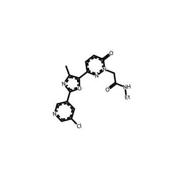 CCNC(=O)Cn1nc(-c2oc(-c3cncc(Cl)c3)nc2C)ccc1=O